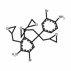 Nc1ccc(C(CC2CO2)(CC2CO2)c2cc(Br)c(N)c(CC3CO3)c2CC2CO2)cc1Br